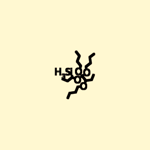 CCCCOC(CC)C(OCCCC)(OCCCC)OC([SiH3])CC